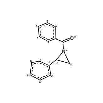 O=C(c1ccccc1)N1CC1c1ccccc1